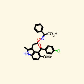 COc1ccc2[nH]c(C)c(CCON=C(C(=O)O)c3ccccc3)c2c1C(=O)c1ccc(Cl)cc1